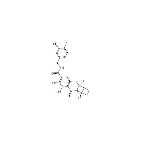 O=C(NCc1ccc(F)c(Cl)c1)c1cn2c(c(O)c1=O)C(=O)N1[C@H]3CCC3[C@@H]1C2